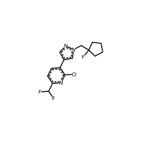 FC(F)c1ccc(-c2cnn(CC3(F)CCCC3)c2)c(Cl)n1